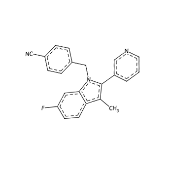 Cc1c(-c2cccnc2)n(Cc2ccc(C#N)cc2)c2cc(F)ccc12